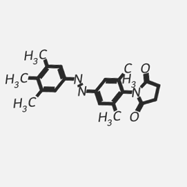 Cc1cc(/N=N/c2cc(C)c(N3C(=O)CCC3=O)c(C)c2)cc(C)c1C